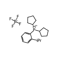 CC(C)c1ccccc1[PH+](C1CCCC1)C1CCCC1.F[B-](F)(F)F